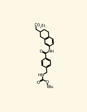 CCOC(=O)CC1CCc2ccc(NC(=O)c3ccc(CNC(=O)OC(C)(C)C)cc3)cc2C1